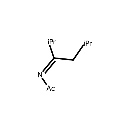 CC(=O)N=C(CC(C)C)C(C)C